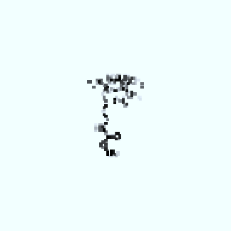 CC([C@](N)(CCCCNC(=O)OC(C)(C)C)C(=O)O)[Si](C)(C)C